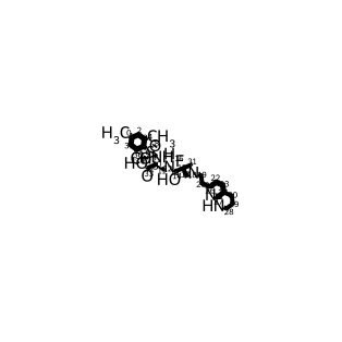 Cc1cc(C)c(S(=O)(=O)N[C@@H](CNC(O)C2(F)CN(CCc3ccc4c(n3)NCCC4)C2)C(=O)O)c(C)c1